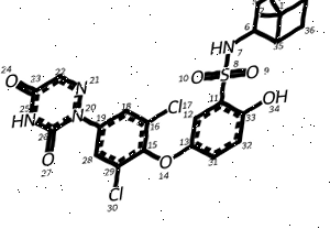 CC1(C)C2CCC(NS(=O)(=O)c3cc(Oc4c(Cl)cc(-n5ncc(=O)[nH]c5=O)cc4Cl)ccc3O)C1C2